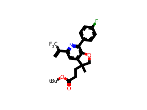 C=C(c1cc2c(c(-c3ccc(F)cc3)n1)OCC2(C)CCC(=O)OC(C)(C)C)C(F)(F)F